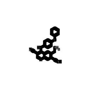 C#Cc1cc2ncc(C#N)c(Nc3ccc(Oc4ccccc4)cc3)c2cc1CC